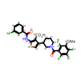 COc1c(F)c(F)c(F)c(C(=O)N2CCCC(c3csc(NC(=O)c4cccc(F)c4)c3C(=O)O)C2)c1F